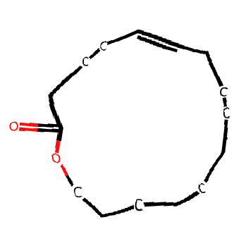 O=C1CCCC=CCCCCCCCCCO1